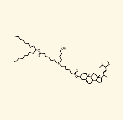 CCCCCCCCC(CCCCCCCC)OC(=O)CCCCCCN(CCCCO)CCCCCC(=O)OC1CCC2(C)C(=CCC3C2CCC2(C)C(C(C)/C=C/C(CC)C(C)C)CCC32)C1